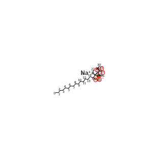 CCCCCCCCCCCCCCCCC1(S(=O)(=O)[O-])CCOC12CCOC21CCO1.[Na+]